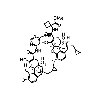 COC(=O)C1(NC(=O)C2=C(O)[C@@H]3Oc4c(OC5CC5CN5CC[C@]67c8c9ccc(O)c8O[C@H]6C(O)=C(C(=O)Nc6cc(OC)ncn6)C[C@@]7(O)[C@H]5C9)ccc5c4[C@@]34CCN(CC3CC3)[C@H](C5)[C@]4(O)C2)CCC1